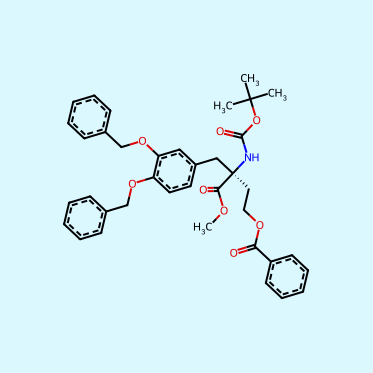 COC(=O)[C@@](CCOC(=O)c1ccccc1)(Cc1ccc(OCc2ccccc2)c(OCc2ccccc2)c1)NC(=O)OC(C)(C)C